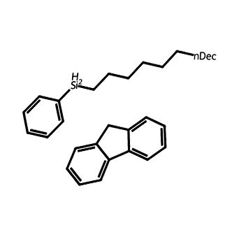 CCCCCCCCCCCCCCCC[SiH2]c1ccccc1.c1ccc2c(c1)Cc1ccccc1-2